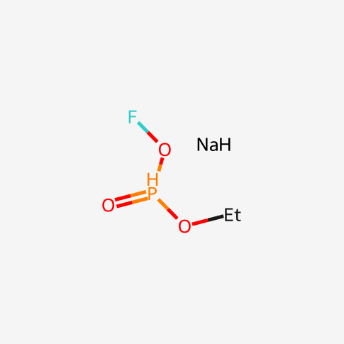 CCO[PH](=O)OF.[NaH]